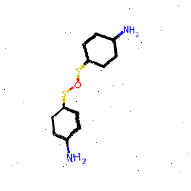 NC1CCC(SOSC2CCC(N)CC2)CC1